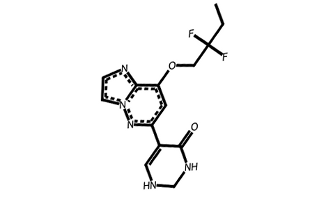 CCC(F)(F)COc1cc(C2=CNCNC2=O)nn2ccnc12